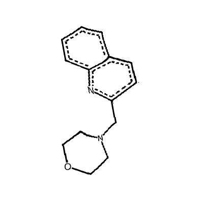 [c]1cc2ccccc2nc1CN1CCOCC1